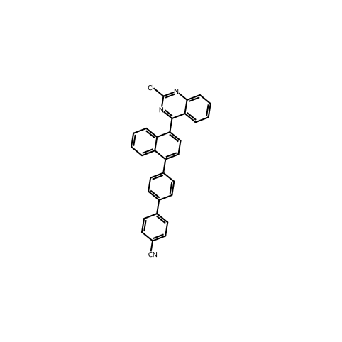 N#Cc1ccc(-c2ccc(-c3ccc(-c4nc(Cl)nc5ccccc45)c4ccccc34)cc2)cc1